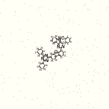 N#Cc1ccccc1-c1nc(-c2cccc3c2oc2cc(-c4nc(-c5ccccc5)nc(-c5ccccc5)n4)ccc23)nc2c1sc1ccccc12